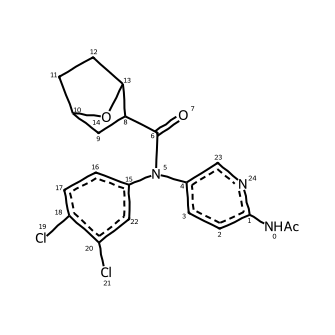 CC(=O)Nc1ccc(N(C(=O)C2CC3CCC2O3)c2ccc(Cl)c(Cl)c2)cn1